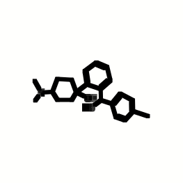 Cc1ccc(C(O)c2ccccc2C2(O)CCC(N(C)C)CC2)cc1